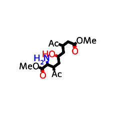 COC(=O)CC(CC(O)CC(C(C)=O)C(N)C(=O)OC)C(C)=O